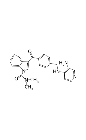 CN(C)C(=O)n1cc(C(=O)c2ccc(CNc3ccncc3N)cc2)c2ccccc21